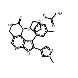 COC(=O)N[C@@H]1CC[C@@H](N2C(=O)NCc3cnc4[nH]c(-c5cnn(C)c5)c(-c5cccc(F)c5)c4c32)C1